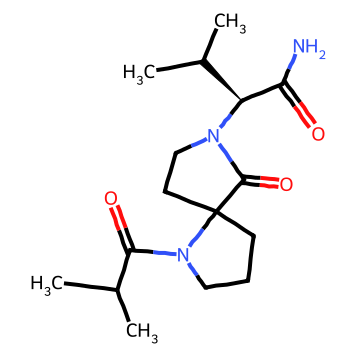 CC(C)C(=O)N1CCCC12CCN([C@H](C(N)=O)C(C)C)C2=O